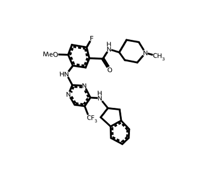 COc1cc(F)c(C(=O)NC2CCN(C)CC2)cc1Nc1ncc(C(F)(F)F)c(NC2Cc3ccccc3C2)n1